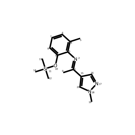 CC(=Nc1c(C)cccc1O[Si](C)(C)C)c1cnn(C)c1